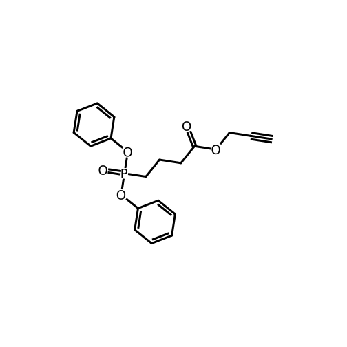 C#CCOC(=O)CCCP(=O)(Oc1ccccc1)Oc1ccccc1